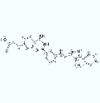 C[C@@H](NC(=O)c1cccc(NCc2nnc(-c3ccncn3)n2C)c1)c1ccc(OCC(=O)O)cc1